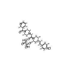 O=C(CN1CCN(C(=O)c2cccnc2)CC1)N1CCC(/C=C/c2ccc(Cl)cc2)CC1.O=C(O)C(=O)O